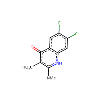 CNc1[nH]c2cc(Cl)c(F)cc2c(=O)c1C(=O)O